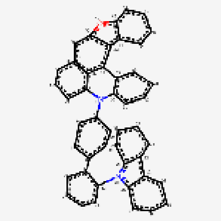 c1ccc(N(c2ccc(-c3ccccc3-n3c4ccccc4c4ccccc43)cc2)c2ccccc2-c2cccc3oc4ccccc4c23)cc1